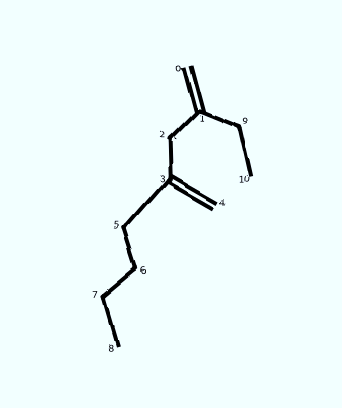 C=C([CH]C(=C)CCCC)CC